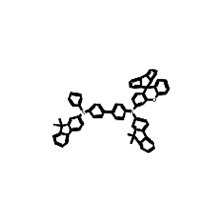 CC1(C)c2ccccc2-c2ccc(N(c3ccccc3)c3ccc(-c4ccc(N(c5ccc6c(c5)Oc5ccccc5C65c6ccccc6-c6ccccc65)c5ccc6c(c5)C(C)(C)c5ccccc5-6)cc4)cc3)cc21